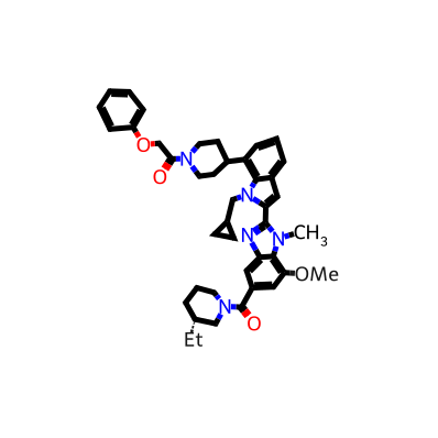 CC[C@@H]1CCCN(C(=O)c2cc(OC)c3c(c2)nc(-c2cc4cccc(C5CCN(C(=O)COc6ccccc6)CC5)c4n2CC2CC2)n3C)C1